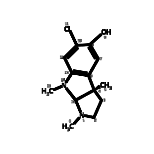 CN1CC[C@@]2(C)c3cc(O)c(Cl)cc3N(C)C12